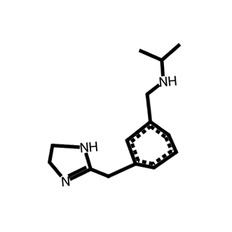 CC(C)NCc1cccc(CC2=NCCN2)c1